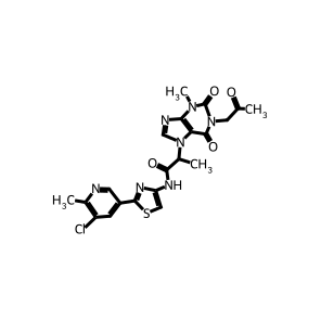 CC(=O)Cn1c(=O)c2c(ncn2C(C)C(=O)Nc2csc(-c3cnc(C)c(Cl)c3)n2)n(C)c1=O